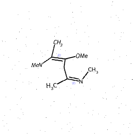 C/N=C(C)\C(OC)=C(\C)NC